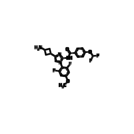 COc1cc(F)c(-n2cc(C3CC(N)C3)nc2NC(=O)c2ccc(OC(F)F)cc2)c(F)c1